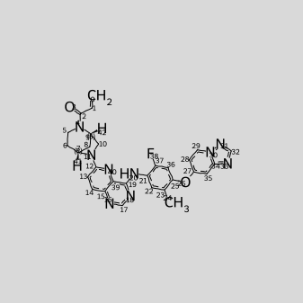 C=CC(=O)N1CC[C@@H]2C[C@H]1CN2c1ccc2ncnc(Nc3cc(C)c(Oc4ccn5ncnc5c4)cc3F)c2n1